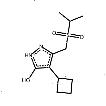 CC(C)S(=O)(=O)Cc1n[nH]c(O)c1C1CCC1